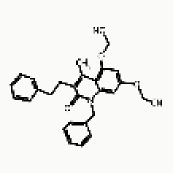 Cc1c(CCc2ccccc2)c(=O)n(Cc2ccccc2)c2cc(OCC#N)cc(OCC#N)c12